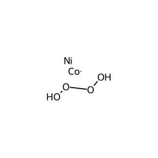 OOOO.[Co].[Ni]